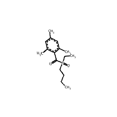 CCCCP(=O)(CC)C(=O)c1c(C)cc(C)cc1C